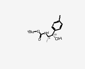 Cc1ccc([C@H](O)[C@H](C)NC(=O)OC(C)(C)C)cc1